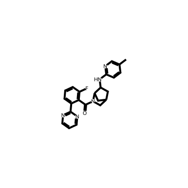 Cc1ccc(NC2CC3CC2N(C(=O)c2c(F)cccc2-c2ncccn2)C3)nc1